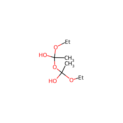 CCOC(C)(O)OC(C)(O)OCC